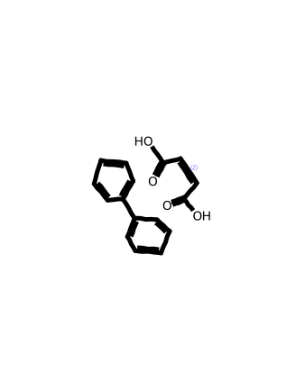 O=C(O)/C=C\C(=O)O.c1ccc(-c2ccccc2)cc1